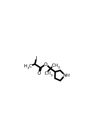 CC(I)C(=O)OC(C)(C)C1CCNC1